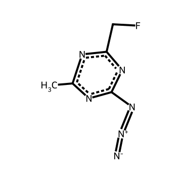 Cc1nc(CF)nc(N=[N+]=[N-])n1